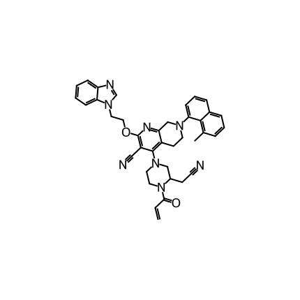 C=CC(=O)N1CCN(c2c(C#N)c(OCCn3cnc4ccccc43)nc3c2CCN(c2cccc4cccc(C)c24)C3)CC1CC#N